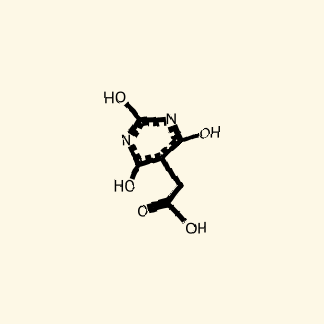 O=C(O)Cc1c(O)nc(O)nc1O